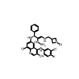 CCN1CC(CN/C=C(\NN)[C@@H](Nc2cc(Cl)c3ncc(C#N)c(Nc4ccc(F)c(Cl)c4)c3c2)c2ccccc2)C1